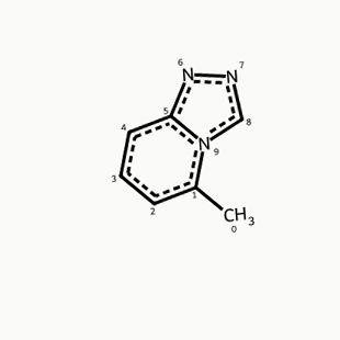 Cc1cccc2nncn12